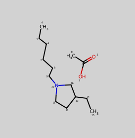 CC(=O)O.CCCCCCN1CCC(CC)C1